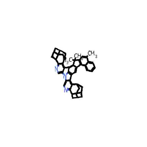 Cc1cc2c(c3ccccc13)-c1cc3c4c5c(ncc4n4c6cnc7c(c6c(c1C2(C)C)c34)C1CC2CC3CC7C23C1)C1CC2CC3CC5CC321